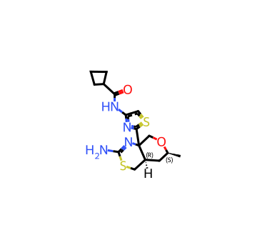 C[C@H]1C[C@H]2CSC(N)=NC2(c2nc(NC(=O)C3CCC3)cs2)CO1